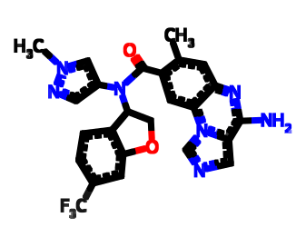 Cc1cc2nc(N)c3cncn3c2cc1C(=O)N(c1cnn(C)c1)C1COc2cc(C(F)(F)F)ccc21